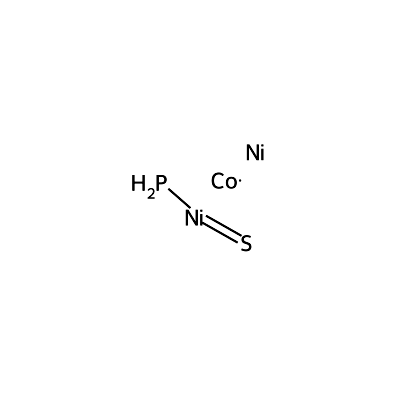 [Co].[Ni].[PH2][Ni]=[S]